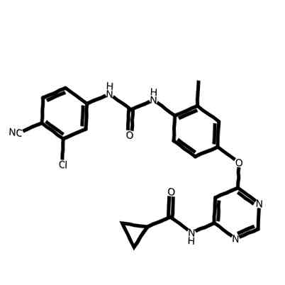 Cc1cc(Oc2cc(NC(=O)C3CC3)ncn2)ccc1NC(=O)Nc1ccc(C#N)c(Cl)c1